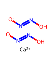 [Ca+2].[O-]N=NO.[O-]N=NO